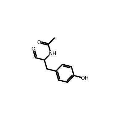 CC(=O)NC([C]=O)Cc1ccc(O)cc1